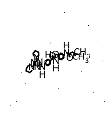 CC(C)CC(=O)Nc1ccc(NC(=O)c2ccc(Nc3nc(N4CCCCC4)nc(N4CCCCC4)n3)cc2)c(O)c1